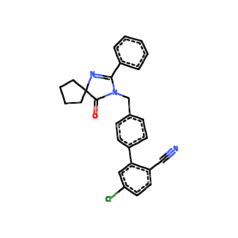 N#Cc1ccc(Cl)cc1-c1ccc(CN2C(=O)C3(CCCC3)N=C2c2ccccc2)cc1